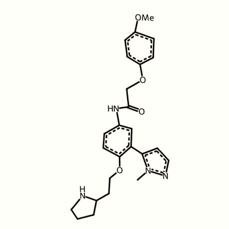 COc1ccc(OCC(=O)Nc2ccc(OCCC3CCCN3)c(-c3ccnn3C)c2)cc1